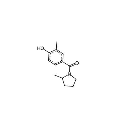 Cc1cc(C(=O)N2CCCC2C)ccc1O